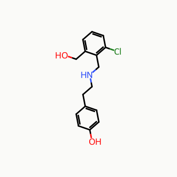 OCc1cccc(Cl)c1CNCCc1ccc(O)cc1